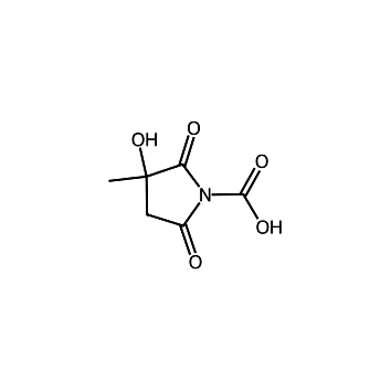 CC1(O)CC(=O)N(C(=O)O)C1=O